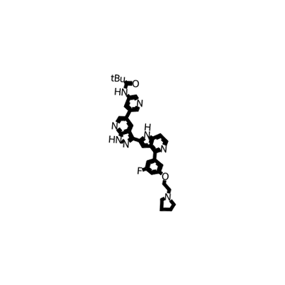 CC(C)(C)C(=O)Nc1cncc(-c2cnc3[nH]nc(-c4cc5c(-c6cc(F)cc(OCCN7CCCC7)c6)nccc5[nH]4)c3c2)c1